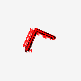 CC(=O)O.CC(=O)O.CC(=O)O.CC(=O)O.CC(=O)O.CC(=O)O.CC(=O)O.CC(=O)O.CC(=O)O.CC(=O)O.CC(=O)O.CC(=O)O.CC(=O)O.CC(=O)O.CC(=O)O.CC(=O)O.CC(=O)O.CC(=O)O.CC(=O)O.CC(=O)O.CC(=O)O.CC(=O)O.CC(=O)O.CC(=O)O.CC(=O)O.CC(=O)O.CC(=O)O.CC(=O)O.CC(=O)O.CCOC(=O)CCCO